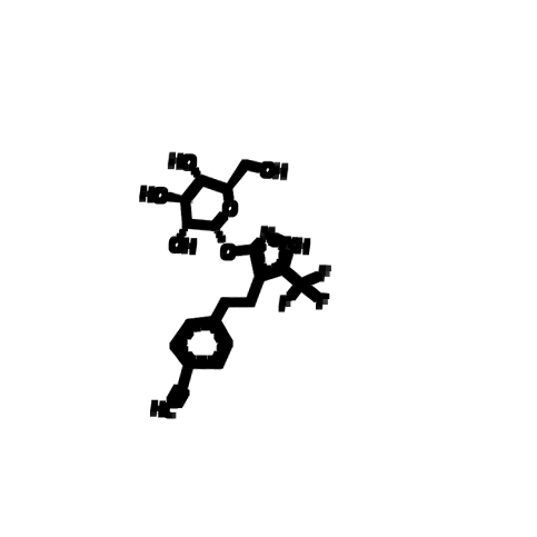 C#Cc1ccc(CCc2c(O[C@H]3O[C@H](CO)[C@@H](O)[C@H](O)[C@H]3O)n[nH]c2C(F)(F)F)cc1